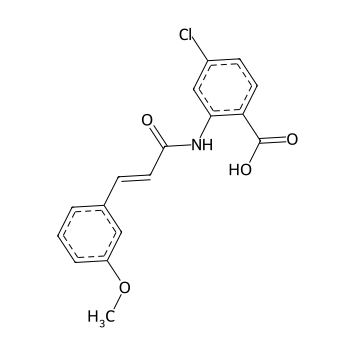 COc1cccc(C=CC(=O)Nc2cc(Cl)ccc2C(=O)O)c1